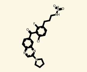 O=C(c1ccc2ncc(N3CCCC3)nc2c1)c1c(Cl)ccc(CCCN[SH](=O)=O)c1F